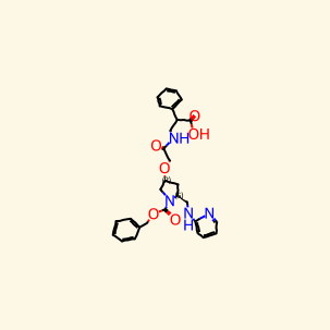 O=C(CO[C@@H]1C[C@@H](CNc2ccccn2)N(C(=O)OCc2ccccc2)C1)NCC(C(=O)O)c1ccccc1